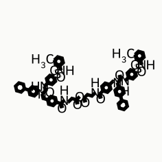 Cc1cccc(NS(=O)(=O)c2ccc(NC(=O)N(Cc3ccc(C(=O)NCCC(=O)OC(=O)CCNC(=O)c4ccc(CN(C(=O)Nc5ccc(S(=O)(=O)Nc6cccc(C)c6)cc5)c5ccc(C6CCCCC6)cc5)cc4)cc3)c3ccc(C4=CCCCC4)cc3)cc2)c1